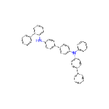 c1ccc(-c2ccc(N(c3ccccc3)c3ccc(-c4ccc(Nc5ccccc5-c5ccccc5)cc4)cc3)cc2)cc1